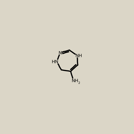 NC1=CNC=NNC1